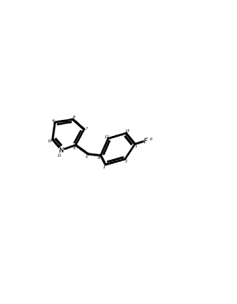 Fc1ccc([CH]c2ccccn2)cc1